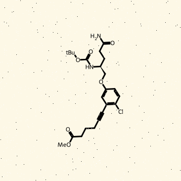 COC(=O)CCCC#Cc1cc(OC[C@H](CCC(N)=O)NC(=O)OC(C)(C)C)ccc1Cl